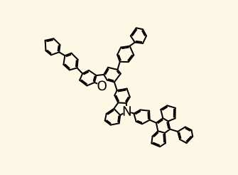 c1ccc(-c2ccc(-c3ccc4oc5c(-c6ccc7c(c6)c6ccccc6n7-c6ccc(-c7c8ccccc8c(-c8ccccc8)c8ccccc78)cc6)cc(-c6ccc(-c7ccccc7)cc6)cc5c4c3)cc2)cc1